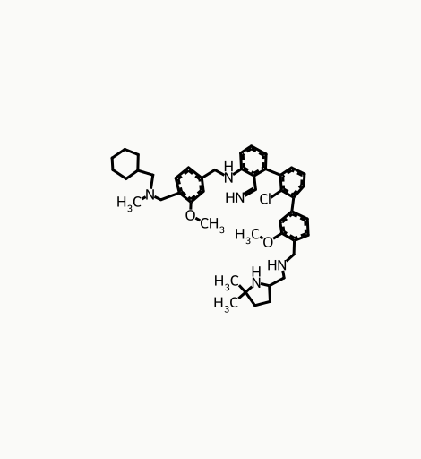 COc1cc(-c2cccc(-c3cccc(NCc4ccc(CN(C)CC5CCCCC5)c(OC)c4)c3C=N)c2Cl)ccc1CNCC1CCC(C)(C)N1